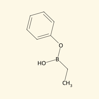 CCB(O)Oc1ccccc1